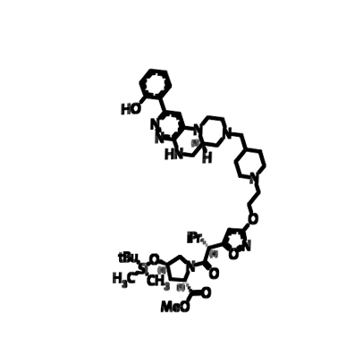 COC(=O)[C@@H]1C[C@@H](O[Si](C)(C)C(C)(C)C)CN1C(=O)[C@@H](c1cc(OCCN2CCC(CN3CCN4c5cc(-c6ccccc6O)nnc5NC[C@H]4C3)CC2)no1)C(C)C